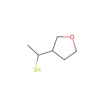 CC(S)C1CCOC1